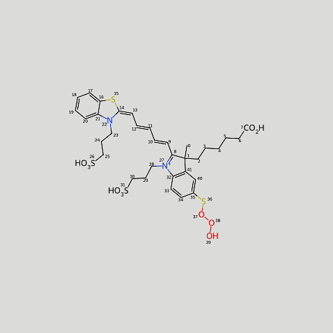 CC1(CCCCCC(=O)O)C(/C=C/C=C/C=C2/Sc3ccccc3N2CCCS(=O)(=O)O)=[N+](CCCS(=O)(=O)O)c2ccc(SOOO)cc21